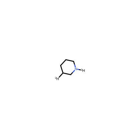 [2H]C1CCCN([2H])C1